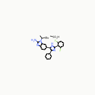 CC(n1c(N)nc2ccc(-c3[nH]c(-c4c(F)cccc4F)nc3-c3ccccc3)cc21)C(C)(C)C.CS(=O)(=O)O